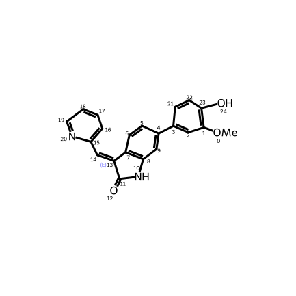 COc1cc(-c2ccc3c(c2)NC(=O)/C3=C/c2ccccn2)ccc1O